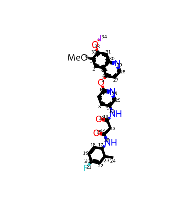 COc1cc2c(Oc3ccc(NC(=O)CC(=O)NC4C=CC(F)=CC4C)cn3)ccnc2cc1OI